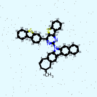 CC1CC=Cc2cc3c(cc2C1)c1cc2ccccc2cc1n3-c1nc(-c2ccc3c(c2)sc2ccccc23)c2sc3ccccc3c2n1